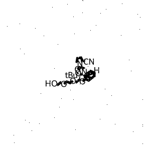 CC(C)(C)OC(=O)N(CC(=O)N1CCC[C@H]1C#N)C12CC3C[C@H](CC(OCCOCCOCCO)(C3)C1)C2